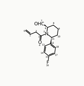 C=CCC(=O)N1[C@@H](C=O)CCC[C@H]1c1ccc(F)cc1